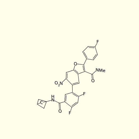 CNC(=O)c1c(-c2ccc(F)cc2)oc2cc([N+](=O)[O-])c(-c3cc(C(=O)NC45CC(C4)C5)c(F)cc3F)cc12